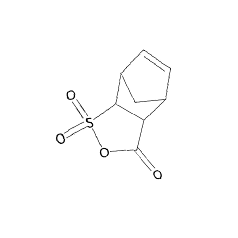 O=C1OS(=O)(=O)C2C3C=CC(C3)C12